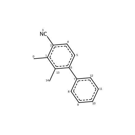 Cc1c(C#N)ccc(-c2ccccc2)c1C